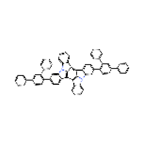 c1ccc(-c2ccc(-c3ccc4c5c6c7ccccc7n7c8cc(-c9ccc(-c%10ccccc%10)cc9-c9ccccc9)ccc8c(c8c9ccccc9n(c4c3)c85)c67)c(-c3ccccc3)c2)cc1